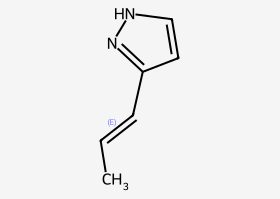 C/C=C/c1cc[nH]n1